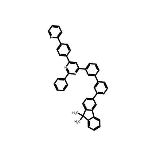 CC1(C)c2ccccc2-c2cc(-c3cccc(-c4cccc(-c5cc(-c6ccc(-c7ccccn7)cc6)nc(-c6ccccc6)n5)c4)c3)ccc21